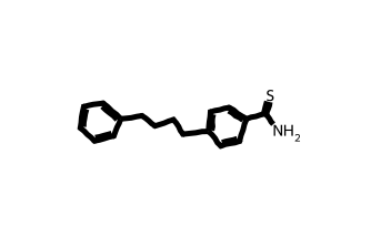 NC(=S)c1ccc(CCCCc2ccccc2)cc1